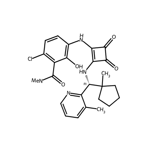 CNC(=O)c1c(Cl)ccc(Nc2c(N[C@@H](c3ncccc3C)C3(C)CCCC3)c(=O)c2=O)c1O